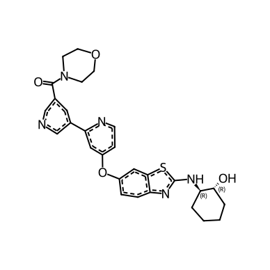 O=C(c1cncc(-c2cc(Oc3ccc4nc(N[C@@H]5CCCC[C@H]5O)sc4c3)ccn2)c1)N1CCOCC1